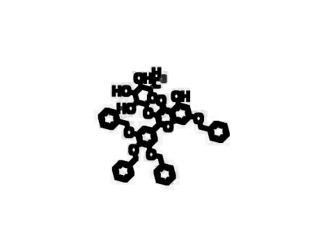 C[C@@H]1O[C@@H](Oc2c(-c3cc(OCc4ccccc4)c(OCc4ccccc4)c(OCc4ccccc4)c3)oc3cc(OCc4ccccc4)cc(O)c3c2=O)C(O)C(O)[C@H]1O